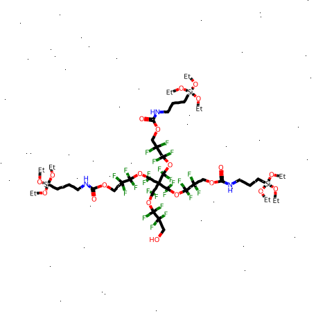 CCO[Si](CCCNC(=O)OCC(F)(F)C(F)(F)OC(F)(F)C(C(F)(F)OC(F)(F)C(F)(F)CO)(C(F)(F)OC(F)(F)C(F)(F)COC(=O)NCCC[Si](OCC)(OCC)OCC)C(F)(F)OC(F)(F)C(F)(F)COC(=O)NCCC[Si](OCC)(OCC)OCC)(OCC)OCC